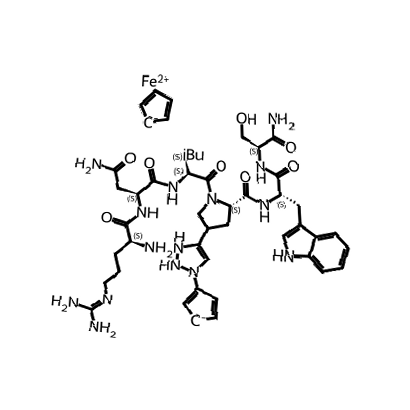 CC[C@H](C)[C@H](NC(=O)[C@H](CC(N)=O)NC(=O)[C@@H](N)CCCN=C(N)N)C(=O)N1CC(C2=CN(c3cc[cH-]c3)NN2)C[C@H]1C(=O)N[C@@H](Cc1c[nH]c2ccccc12)C(=O)N[C@@H](CO)C(N)=O.[Fe+2].c1cc[cH-]c1